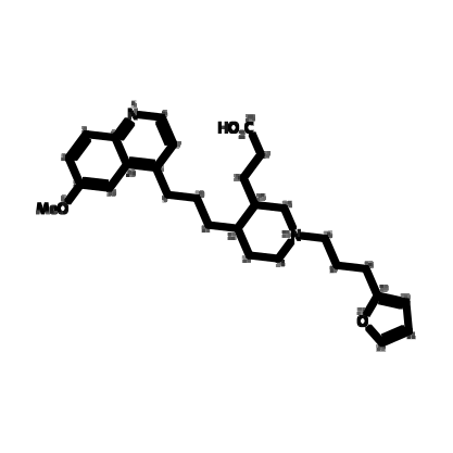 COc1ccc2nccc(CCCC3CCN(CCCc4ccco4)CC3CCC(=O)O)c2c1